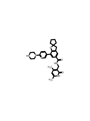 Cc1cc(C)c(CNC(=O)c2cc3c(c(-c4ccc(N5CCNCC5)nc4)c2)OC2(CCCC2)C3)c(=O)[nH]1